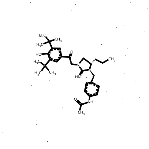 CCC[C@H]1CN(CC(=O)c2cc(C(C)(C)C)c(O)c(C(C)(C)C)c2)C(=N)[C@@H]1Cc1ccc(NC(C)=O)cc1